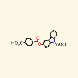 CCCCCCCCn1c2ccccc2c2cc(OC(=O)c3ccc(C(=O)O)cc3)ccc21